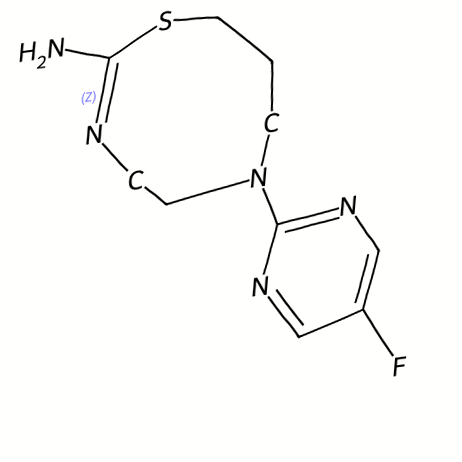 N/C1=N/CCN(c2ncc(F)cn2)CCCS1